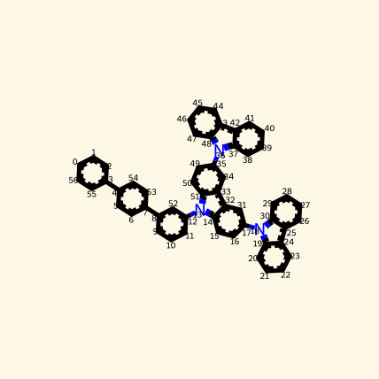 c1ccc(-c2ccc(-c3cccc(-n4c5ccc(-n6c7ccccc7c7ccccc76)cc5c5cc(-n6c7ccccc7c7ccccc76)ccc54)c3)cc2)cc1